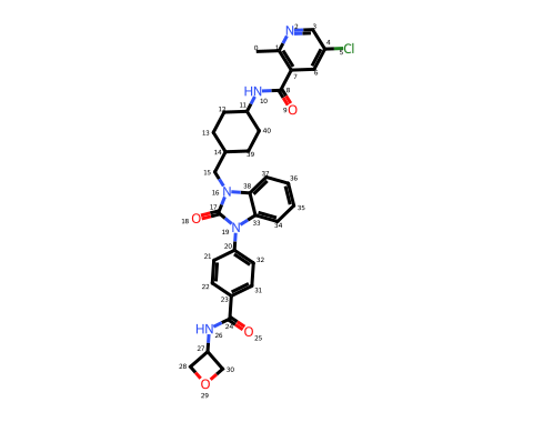 Cc1ncc(Cl)cc1C(=O)NC1CCC(Cn2c(=O)n(-c3ccc(C(=O)NC4COC4)cc3)c3ccccc32)CC1